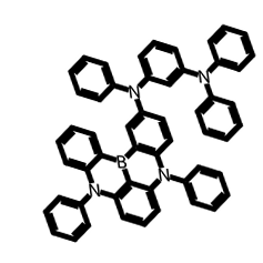 c1ccc(N(c2ccccc2)c2cccc(N(c3ccccc3)c3ccc4c(c3)B3c5ccccc5N(c5ccccc5)c5cccc(c53)N4c3ccccc3)c2)cc1